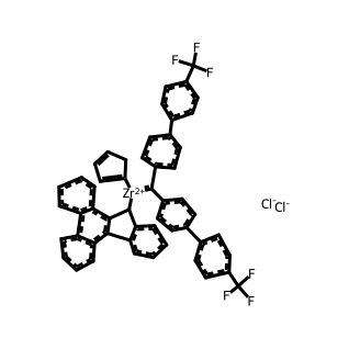 FC(F)(F)c1ccc(-c2ccc([C](c3ccc(-c4ccc(C(F)(F)F)cc4)cc3)=[Zr+2]([C]3=CC=CC3)[CH]3c4ccccc4-c4c3c3ccccc3c3ccccc43)cc2)cc1.[Cl-].[Cl-]